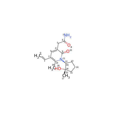 C=Cc1cc(CC(N)=O)c(=O)n([C@H]2CCC[C@]2(C)O)c1C